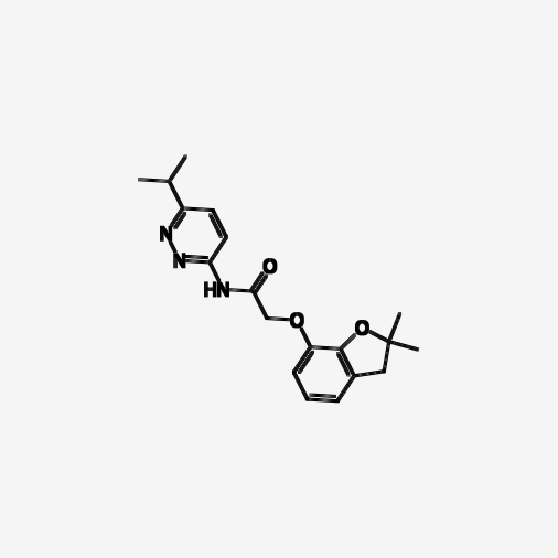 CC(C)c1ccc(NC(=O)COc2cccc3c2OC(C)(C)C3)nn1